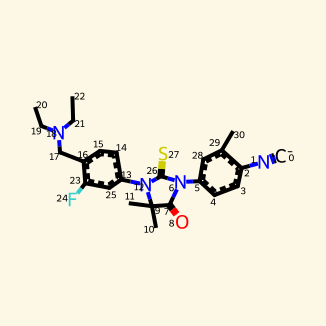 [C-]#[N+]c1ccc(N2C(=O)C(C)(C)N(c3ccc(CN(CC)CC)c(F)c3)C2=S)cc1C